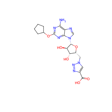 Nc1nc(OC2CCCC2)nc2c1ncn2[C@@H]1O[C@H](Cn2cc(C(=O)O)nn2)[C@H](O)[C@H]1O